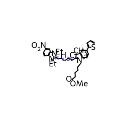 CCN1/C(=C/C=C/C=C/C2=[N+](CCCCCC(=O)OC)c3ccc(-c4cccs4)cc3C2(C)C)N(CC)c2cc([N+](=O)[O-])ccc21